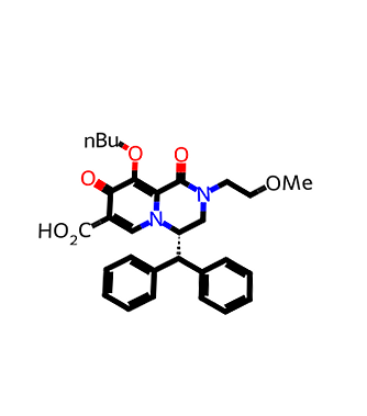 CCCCOc1c2n(cc(C(=O)O)c1=O)[C@@H](C(c1ccccc1)c1ccccc1)CN(CCOC)C2=O